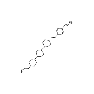 CCC=Cc1ccc(CC[C@H]2CC[C@H]([C@H]3CC[C@H]([C@H]4CC[C@H](CCF)CC4)CC3)CC2)cc1